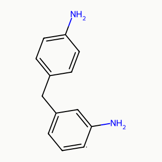 Nc1[c]ccc(Cc2ccc(N)cc2)c1